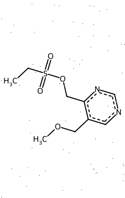 CCS(=O)(=O)OCc1ncncc1COC